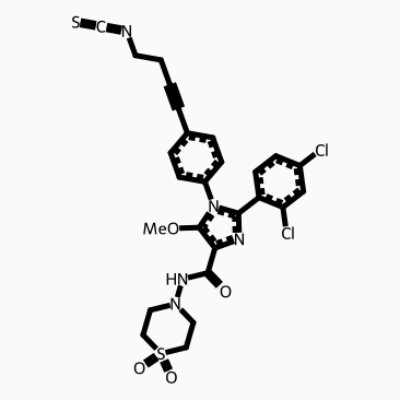 COc1c(C(=O)NN2CCS(=O)(=O)CC2)nc(-c2ccc(Cl)cc2Cl)n1-c1ccc(C#CCCN=C=S)cc1